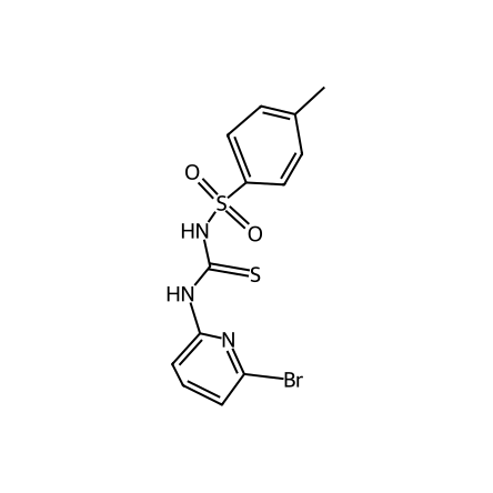 Cc1ccc(S(=O)(=O)NC(=S)Nc2cccc(Br)n2)cc1